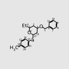 CCC1CC(OCc2ccccc2)CC(Sc2ccc(C)cc2)O1